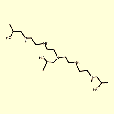 CC(O)CNCCNCCN(CCNCCNCC(C)O)CC(C)O